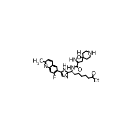 CCC(=O)CCCCC[C@H](NC(=O)C(=N)CC1(O)CCNCC1)c1ncc(-c2cc3ccc(C)nc3cc2F)[nH]1